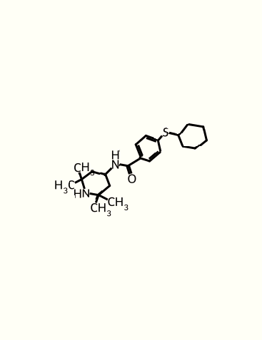 CC1(C)CC(NC(=O)c2ccc(SC3CCCCC3)cc2)CC(C)(C)N1